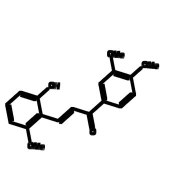 COc1ccc(C(=O)C=Cc2c(O)cccc2OC)cc1OC